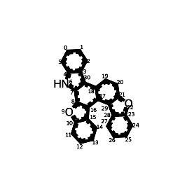 c1ccc2c(c1)[nH]c1c3oc4ccccc4c3c3c(ccc4oc5ccccc5c43)c21